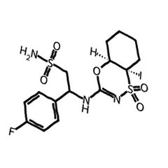 NS(=O)(=O)CC(NC1=NS(=O)(=O)[C@]2(I)CCCC[C@@H]2O1)c1ccc(F)cc1